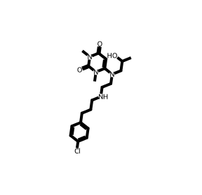 CC(O)CN(CCNCCCc1ccc(Cl)cc1)c1cc(=O)n(C)c(=O)n1C